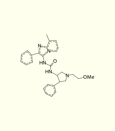 COCCN1CC(NC(=O)Nc2c(-c3ccccc3)nc3c(C)cccn23)C(c2ccccc2)C1